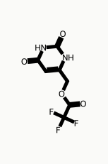 O=C(OCc1cc(=O)[nH]c(=O)[nH]1)C(F)(F)F